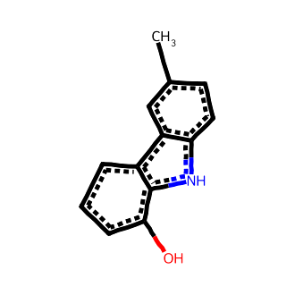 Cc1ccc2[nH]c3c(O)cccc3c2c1